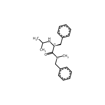 CC(C)N[C@@H](Cc1ccccc1)C(=O)N(C)Cc1ccccc1